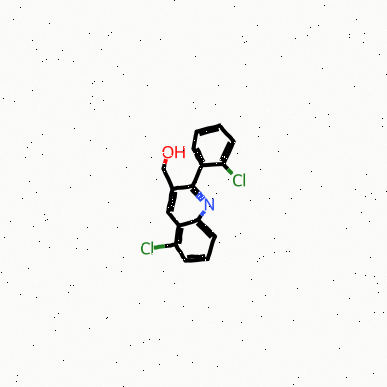 OCc1cc2c(Cl)cccc2nc1-c1ccccc1Cl